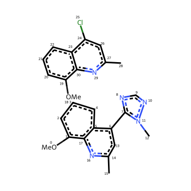 COc1cccc2c(-c3ncnn3C)cc(C)nc12.COc1cccc2c(Cl)cc(C)nc12